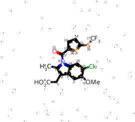 COc1cc2c(CC(=O)O)c(C)n(C(=O)c3ccc(SC(F)(F)F)s3)c2cc1Cl